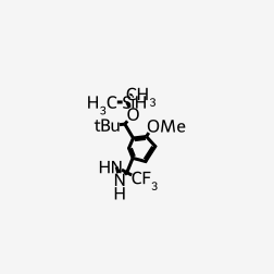 COc1ccc(C2(C(F)(F)F)NN2)cc1C(O[SiH](C)C)C(C)(C)C